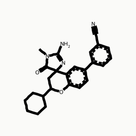 CN1C(=O)C2(CC(C3CCCCC3)Oc3ccc(-c4cccc(C#N)c4)cc32)N=C1N